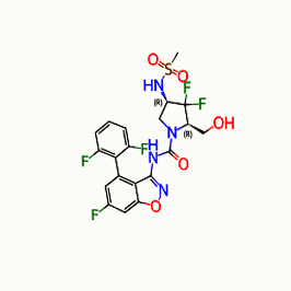 CS(=O)(=O)N[C@@H]1CN(C(=O)Nc2noc3cc(F)cc(-c4c(F)cccc4F)c23)[C@H](CO)C1(F)F